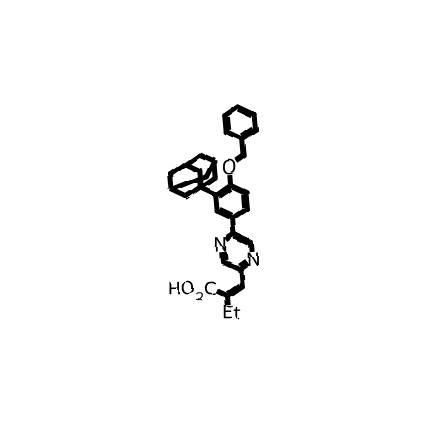 CCC(=Cc1cnc(-c2ccc(OCc3ccccc3)c(C34CC5CC(CC(C5)C3)C4)c2)cn1)C(=O)O